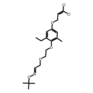 CCc1cc(OCC=C(Cl)Cl)cc(C)c1OCCOCC=NOC(C)(C)C